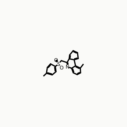 Cc1ccc(S(=O)(=O)Cc2nc3cccc(C)c3c3ccccc23)cc1